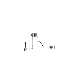 CC1(CCO)COC1